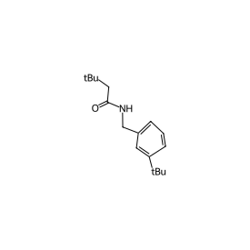 CC(C)(C)CC(=O)NCc1cccc(C(C)(C)C)c1